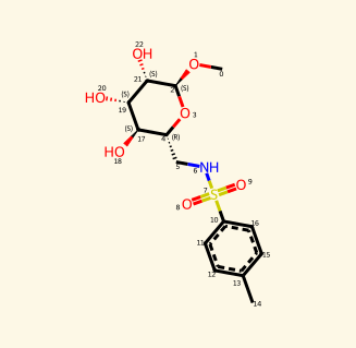 CO[C@H]1O[C@H](CNS(=O)(=O)c2ccc(C)cc2)[C@@H](O)[C@H](O)[C@@H]1O